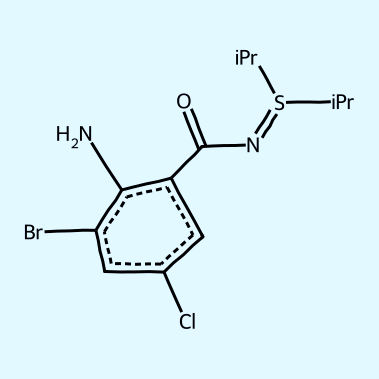 CC(C)S(=NC(=O)c1cc(Cl)cc(Br)c1N)C(C)C